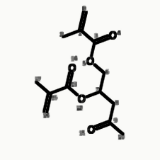 C=C(C)C(=O)OCC(CC(C)=O)OC(=O)C(=C)C